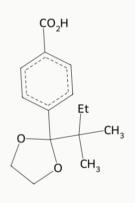 CCC(C)(C)C1(c2ccc(C(=O)O)cc2)OCCO1